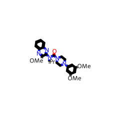 COc1cc(OC)cc(N2CCN(C(=O)N(c3nc4ccccc4nc3OC)C(C)C)CC2)c1